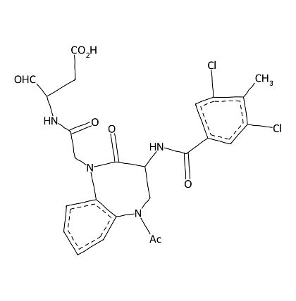 CC(=O)N1CC(NC(=O)c2cc(Cl)c(C)c(Cl)c2)C(=O)N(CC(=O)NC(C=O)CC(=O)O)c2ccccc21